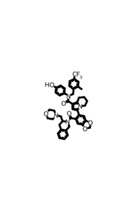 Cc1cc(C(F)(F)F)ccc1CN(C(=O)c1cc(-c2cc3c(cc2C(=O)N2Cc4ccccc4CC2CN2CCOCC2)OCO3)n2c1CCCC2)c1ccc(O)cc1